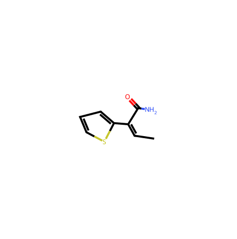 CC=C(C(N)=O)c1cccs1